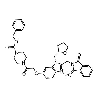 CC[n+]1c(CN2C(=O)c3ccccc3C2=O)n(C[C@@H]2CCCO2)c2cc(OCC(=O)N3CCN(C(=O)OCc4ccccc4)CC3)ccc21